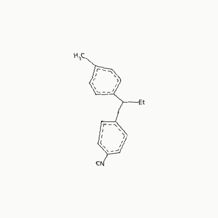 [C-]#[N+]c1ccc(C(CC)c2ccc(C)cc2)cc1